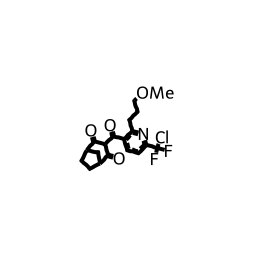 COCCCc1nc(C(F)(F)Cl)ccc1C(=O)C1C(=O)C2CCC(C2)C1=O